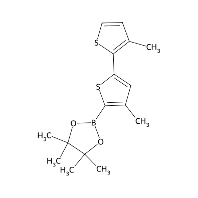 Cc1cc(-c2sccc2C)sc1B1OC(C)(C)C(C)(C)O1